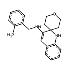 Nc1ccccc1CNC1=Nc2ccccc2NC12CCOCC2